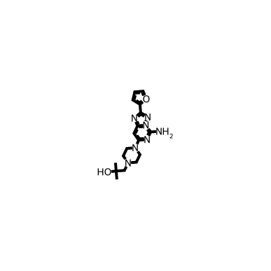 CC(C)(O)CN1CCN(c2cc3nc(-c4ccco4)nn3c(N)n2)CC1